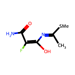 CS/C(C)=N/C(O)=C(/F)C(N)=O